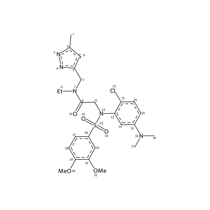 CCN(Cc1nnc(C)s1)C(=O)CN(c1cc(N(C)C)ccc1Cl)S(=O)(=O)c1ccc(OC)c(OC)c1